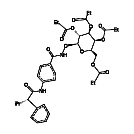 CCC(=O)OC[C@H]1O[C@@H](ONC(=O)c2ccc(NC(=O)[C@H](c3ccccc3)C(C)C)cc2)[C@H](OC(=O)CC)[C@@H](OC(=O)CC)[C@H]1OC(=O)CC